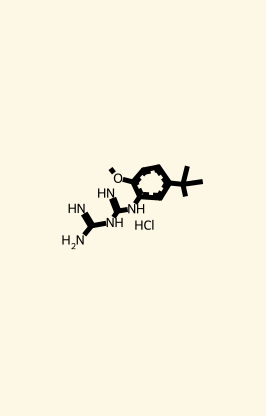 COc1ccc(C(C)(C)C)cc1NC(=N)NC(=N)N.Cl